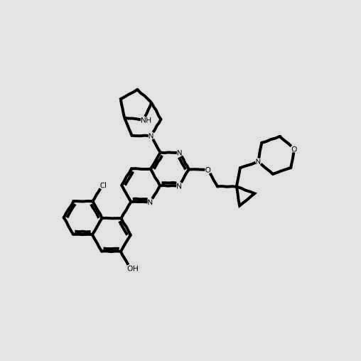 Oc1cc(-c2ccc3c(N4CC5CCC(C4)N5)nc(OCC4(CN5CCOCC5)CC4)nc3n2)c2c(Cl)cccc2c1